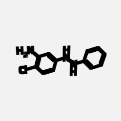 Nc1cc(NNc2ccccc2)ccc1Cl